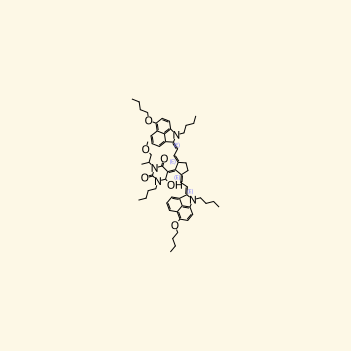 CCCCOc1ccc2c3c1cccc3/c(=C\C=C1/CC/C(=C\C=c3/c4cccc5c(OCCCC)ccc(c54)n3CCCC)C1=C1C(=O)N(C(C)COC)C(=O)N(CCCC)C1O)n2CCCC